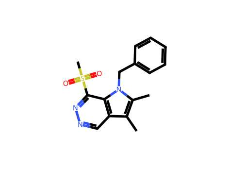 Cc1c(C)n(Cc2ccccc2)c2c(S(C)(=O)=O)nncc12